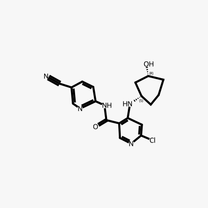 N#Cc1ccc(NC(=O)c2cnc(Cl)cc2N[C@H]2CCC[C@@H](O)C2)nc1